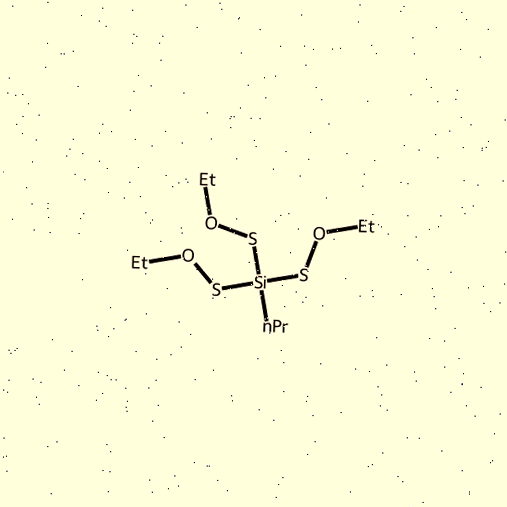 CCC[Si](SOCC)(SOCC)SOCC